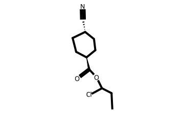 CCC(Cl)OC(=O)[C@H]1CC[C@H](C#N)CC1